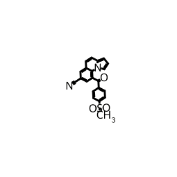 CS(=O)(=O)c1ccc(C(=O)c2cc(C#N)cc3ccc4cccn4c23)cc1